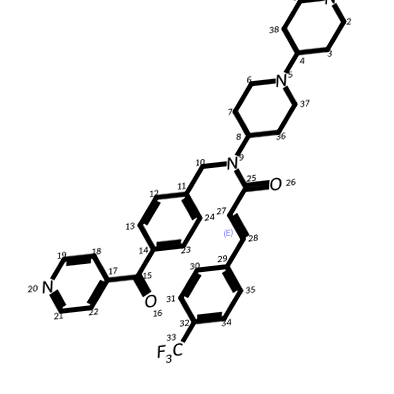 CN1CCC(N2CCC(N(Cc3ccc(C(=O)c4ccncc4)cc3)C(=O)/C=C/c3ccc(C(F)(F)F)cc3)CC2)CC1